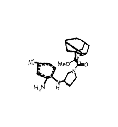 COC(=O)C12CC3CC(C1)C(OC(=O)N1CCC(Nc4ccc(C#N)cc4N)C1)C(C3)C2